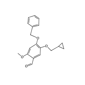 COc1cc(OCc2ccccc2)c(OCC2CC2)cc1C=O